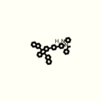 C=C(c1ccccc1)N(c1ccc(-c2ccc(-c3ccc4c(-c5ccc6ccccc6c5)c5ccccc5c(-c5ccc6ccccc6c5)c4c3)cc2)cc1)c1ccccc1N